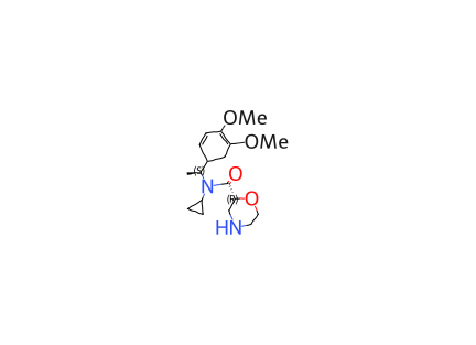 COC1=C(OC)CC([C@H](C)N(C(=O)[C@H]2CNCCO2)C2CC2)C=C1